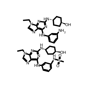 CCn1cnc2c(Nc3cccc(N)c3)nc(N[C@H]3CC[C@H](O)CC3)nc21.CCn1cnc2c(Nc3cccc(NS(C)(=O)=O)c3)nc(N[C@H]3CC[C@H](O)CC3)nc21